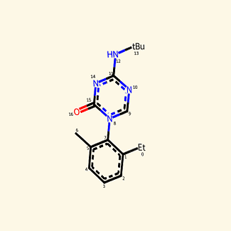 CCc1cccc(C)c1-n1cnc(NC(C)(C)C)nc1=O